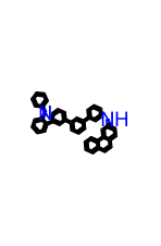 c1ccc(-n2c3ccccc3c3cc(-c4cccc(-c5cccc(Nc6ccc7ccc8ccccc8c7c6)c5)c4)ccc32)cc1